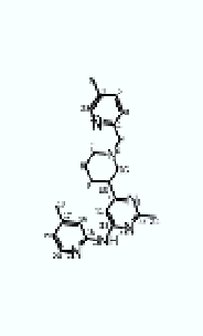 Cc1ccc(CN2CCCC(c3cc(Nc4cc(C)ccn4)nc(C)n3)C2)nc1